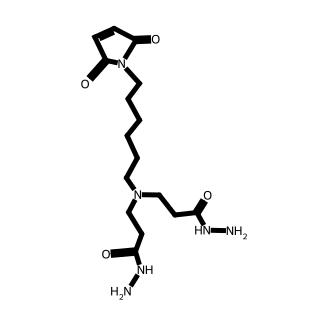 NNC(=O)CCN(CCCCCCN1C(=O)C=CC1=O)CCC(=O)NN